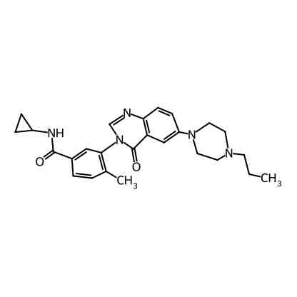 CCCN1CCN(c2ccc3ncn(-c4cc(C(=O)NC5CC5)ccc4C)c(=O)c3c2)CC1